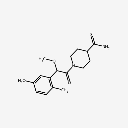 COC(C(=O)N1CCC(C(N)=S)CC1)c1cc(C)ccc1C